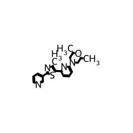 Cc1nc(-c2cccnc2)sc1-c1cccc(N2CC(C)OC(C)C2)n1